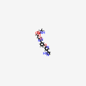 CC(C)(C)NC(=O)O[C@H](CO)Cc1nc(-c2cccc(Oc3ccc(-c4ccn[nH]4)cn3)c2)no1